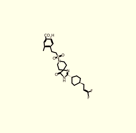 Cc1cc(C(=O)O)ccc1CCS(=O)(=O)N1CCC2(CC1)N=C([C@H]1CC[C@H](CC=C(F)F)CC1)NC2=O